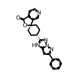 O=C1O[C@]2(CC[C@@H](c3nn4nc(-c5ccccc5)cc4[nH]3)CC2)c2cnccc21